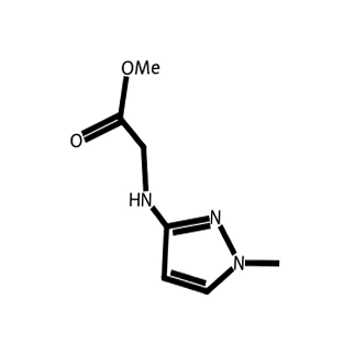 COC(=O)CNc1ccn(C)n1